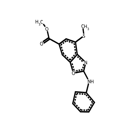 COC(=O)c1cc(SC)c2nc(Nc3ccccc3)oc2c1